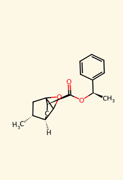 C[C@@H]1CC23OC2[C@@H]1C[C@@H]3C(=O)O[C@H](C)c1ccccc1